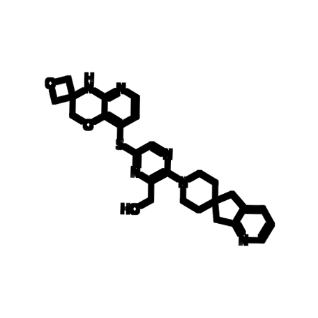 OCc1nc(Sc2ccnc3c2OCC2(COC2)N3)cnc1N1CCC2(CC1)Cc1cccnc1C2